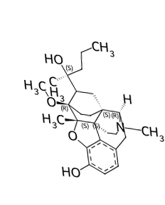 CCC[C@](C)(O)C1C[C@@]23CC[C@]1(OC)[C@@]1(C)Oc4c(O)ccc5c4[C@]21CCN(C)[C@@H]3C5